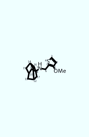 COc1ccsc1CNC12CC3CC(CC(C3)C1)C2